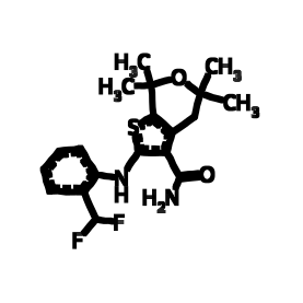 CC1(C)Cc2c(sc(Nc3ccccc3C(F)F)c2C(N)=O)C(C)(C)O1